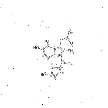 Cc1c(CC(=O)O)c2c(Cl)c(O)ccc2n1C(=O)c1ccc(Br)s1